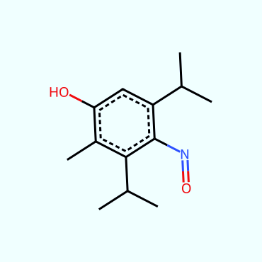 Cc1c(O)cc(C(C)C)c(N=O)c1C(C)C